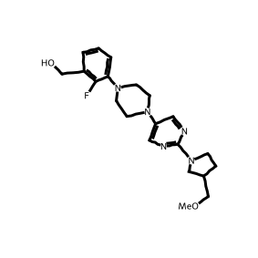 COCC1CCN(c2ncc(N3CCN(c4cccc(CO)c4F)CC3)cn2)C1